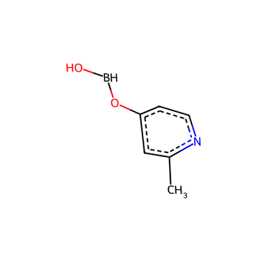 Cc1cc(OBO)ccn1